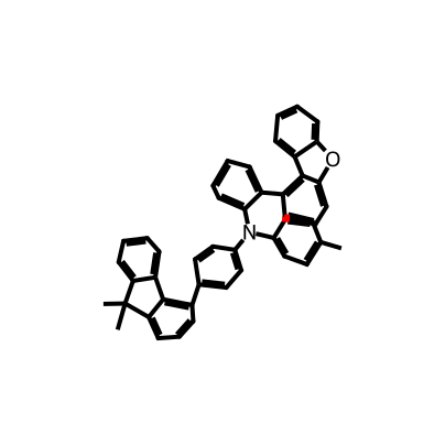 Cc1ccc(N(c2ccc(-c3cccc4c3-c3ccccc3C4(C)C)cc2)c2ccccc2-c2cccc3oc4ccccc4c23)cc1